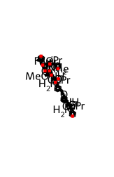 COc1cc(NC(=O)C(OC(C)C)[C@H](N)CC2CCCC(CCOc3cccc(NC(=O)C(OC(C)C)[C@H](N)CC4CCCCC4)c3)C2)cc(OC)c1OCCC(Cc1ccccc1F)NC(=O)C(OC(C)C)[C@H](N)CC1CCCCC1